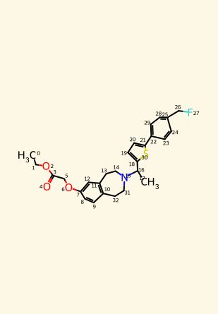 CCOC(=O)COc1ccc2c(c1)CCN(C(C)c1ccc(-c3ccc(CF)cc3)s1)CC2